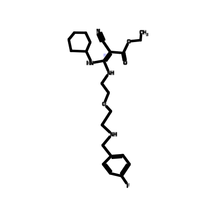 CCOC(=O)/C(C#N)=C(\NCCOCCNCc1ccc(F)cc1)NC1CCCCC1